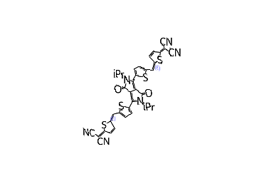 CC(C)N1C(=O)C2=C(c3ccc(/C=c4\ccc(=C(C#N)C#N)s4)s3)N(C(C)C)C(=O)C2=C1c1ccc(/C=c2\ccc(=C(C#N)C#N)s2)s1